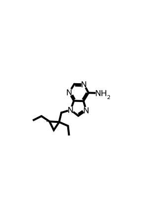 CC[C]1CC1(CC)Cn1cnc2c(N)ncnc21